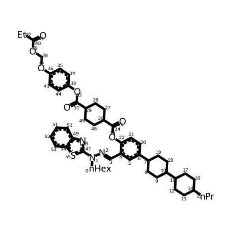 CCCCCCN(/N=C/c1cc(C2CCC(C3CCC(CCC)CC3)CC2)ccc1OC(=O)C1CCC(C(=O)Oc2ccc(OCOC(=O)CC)cc2)CC1)c1nc2ccccc2s1